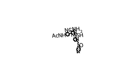 CC(=O)Nc1ccc(-c2nc(C(S)c3cccc(CCC(=O)N4CCN(C)CC4)n3)nc(N)c2C#N)cc1